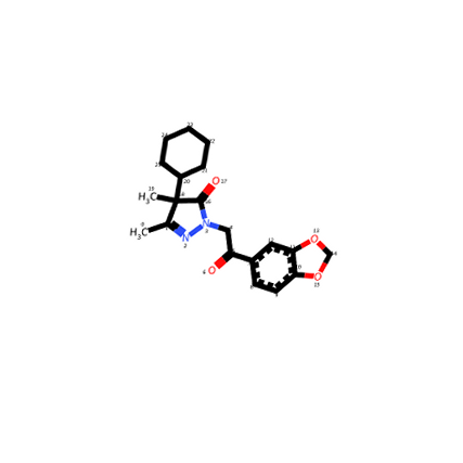 CC1=NN(CC(=O)c2ccc3c(c2)OCO3)C(=O)C1(C)C1CCCCC1